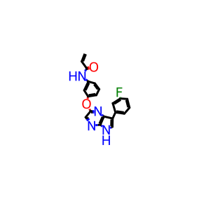 C=CC(=O)Nc1cccc(Oc2cnc3[nH]cc(-c4cccc(F)c4)c3n2)c1